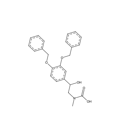 CN(CC(O)c1ccc(OCc2ccccc2)c(OCc2ccccc2)c1)C(=O)O